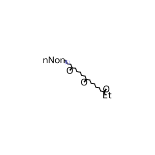 CCCCCCCCC/C=C/CC(=O)CCCCCC(=O)CCCCCCC(=O)CC